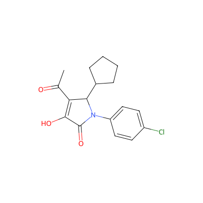 CC(=O)C1=C(O)C(=O)N(c2ccc(Cl)cc2)C1C1CCCC1